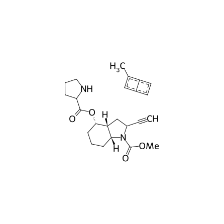 C#CC1C[C@H]2[C@@H](OC(=O)C3CCCN3)CCC[C@H]2N1C(=O)OC.Cc1cc2ccc1-2